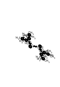 CPc1cc(C)c(-c2ccc3c(c2)c2cc(C(C)c4c(P)cc(C)cc4P)ccc2n3-c2scc(-c3ccccc3OCCCCOc3ccccc3-c3csc(-n4c5ccc(-c6c(P)cc(C)cc6CP)cc5c5cc(-c6c(P)cc(C)cc6PC)ccc54)c3O)c2O)c(PC)c1